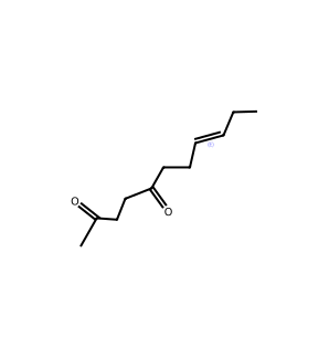 CC/C=C/CCC(=O)CCC(C)=O